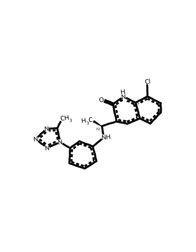 Cc1nnnn1-c1cccc(N[C@@H](C)c2cc3cccc(Cl)c3[nH]c2=O)c1